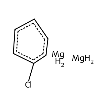 Clc1ccccc1.[MgH2].[MgH2]